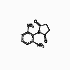 O=C1CCC(=O)N1c1c([N+](=O)[O-])[c]ccc1[N+](=O)[O-]